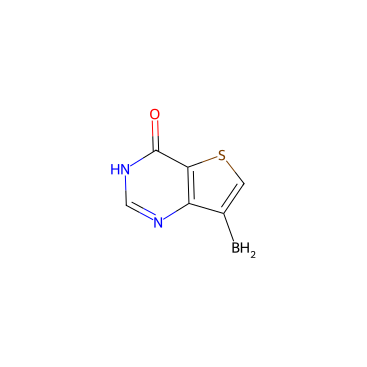 Bc1csc2c(=O)[nH]cnc12